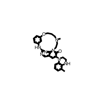 Cc1cccc2c1NCCN2c1cc2cnc3nc2n(c1=O)CCN(C)CCCOc1cccc(c1)N3